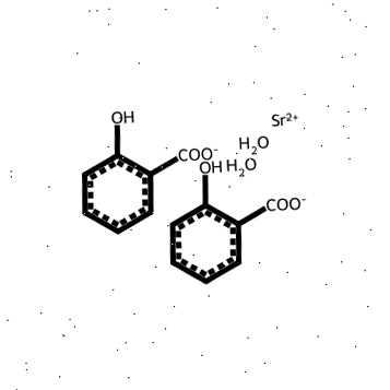 O.O.O=C([O-])c1ccccc1O.O=C([O-])c1ccccc1O.[Sr+2]